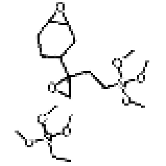 CC[Si](OC)(OC)OC.CO[Si](CCC1(C2CCC3OC3C2)CO1)(OC)OC